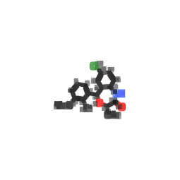 CCc1c(OC)cccc1C1OC(OC(C)=O)C(=O)Nc2ccc(Cl)cc21